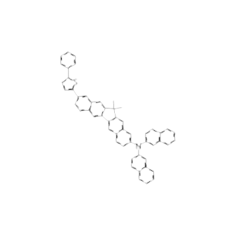 CC1(C)c2cc3cc(-c4ccc(-c5ccccc5)s4)ccc3cc2-c2cc3ccc(N(c4ccc5ccccc5c4)c4ccc5ccccc5c4)cc3cc21